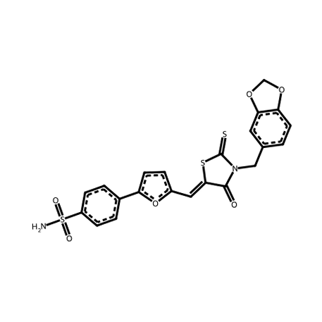 NS(=O)(=O)c1ccc(-c2ccc(/C=C3\SC(=S)N(Cc4ccc5c(c4)OCO5)C3=O)o2)cc1